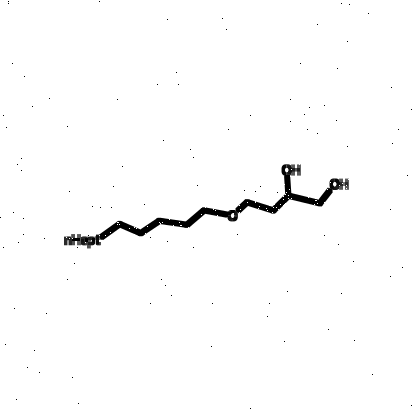 CCCCCCCCCCCCOCCC(O)CO